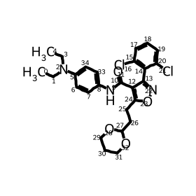 CCN(CC)c1ccc(NC(=O)c2c(-c3c(Cl)cccc3Cl)noc2CCC2OCCCO2)cc1